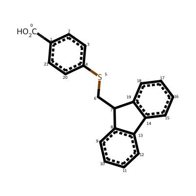 O=C(O)c1ccc(SCC2c3ccccc3-c3ccccc32)cc1